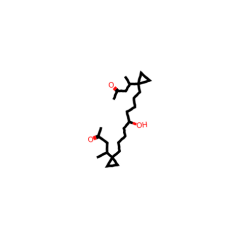 CC(=O)CC(C)C1(CCCCC(O)CCCCC2(C(C)CC(C)=O)CC2)CC1